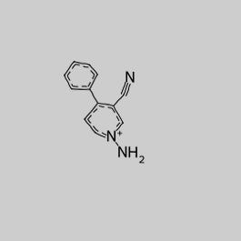 N#Cc1c[n+](N)ccc1-c1ccccc1